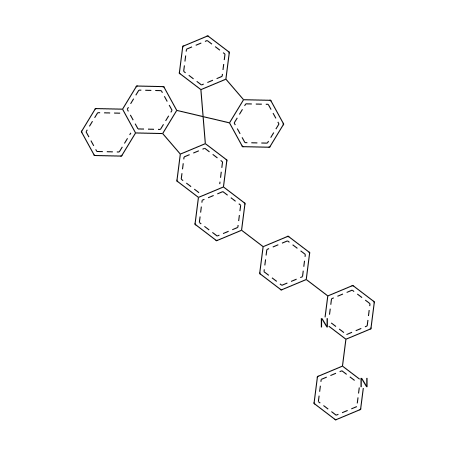 c1ccc(-c2cccc(-c3ccc(-c4ccc5cc6c(cc5c4)C4(c5ccccc5-c5ccccc54)c4ccc5ccccc5c4-6)cc3)n2)nc1